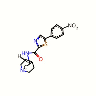 O=C(N[C@H]1CN2CCC1CC2)c1ncc(-c2ccc([N+](=O)[O-])cc2)s1